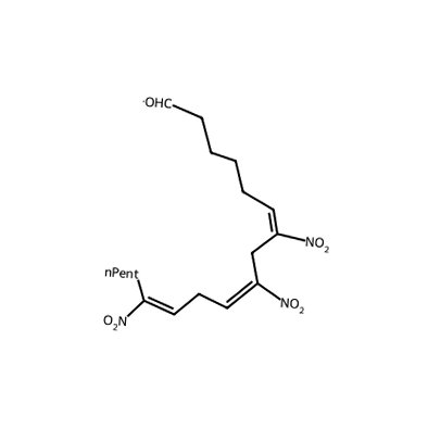 CCCCC/C(=C\C/C=C(\C/C(=C\CCCC[C]=O)[N+](=O)[O-])[N+](=O)[O-])[N+](=O)[O-]